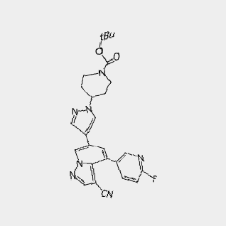 CC(C)(C)OC(=O)N1CCC(n2cc(-c3cc(-c4ccc(F)nc4)c4c(C#N)cnn4c3)cn2)CC1